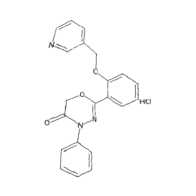 Cl.O=C1COC(c2ccccc2OCc2cccnc2)=NN1c1ccccc1